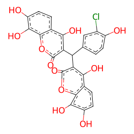 O=c1oc2c(O)c(O)ccc2c(O)c1C(c1ccc(O)c(Cl)c1)c1c(O)c2ccc(O)c(O)c2oc1=O